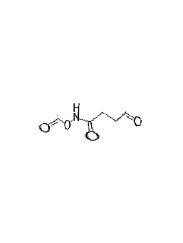 O=[C]ONC(=O)CCC=O